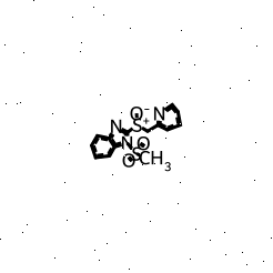 CS(=O)(=O)n1c([S+]([O-])Cc2ccccn2)nc2ccccc21